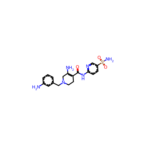 NC1=C(C(=O)Nc2ccc(S(N)(=O)=O)cn2)CCN(Cc2cccc(N)c2)C1